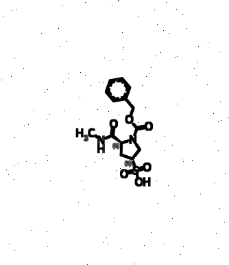 CNC(=O)[C@@H]1C[C@H](S(=O)(=O)O)CN1C(=O)OCc1ccccc1